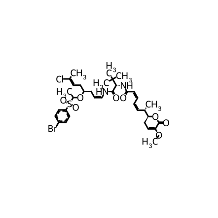 COC1=CC[C@@H]([C@@H](C)/C=C\C=C/C(=O)N[C@H](C(=O)N/C=C\C[C@H](C/C=C(\C)Cl)OC(C)S(=O)(=O)c2ccc(Br)cc2)C(C)(C)C)OC1=O